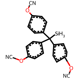 N#COc1ccc(C([SiH3])(c2ccc(OC#N)cc2)c2ccc(OC#N)cc2)cc1